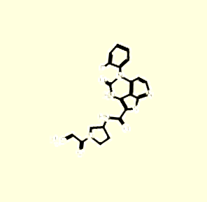 C=CC(=O)N1CCC(NC(=O)c2sc3nccc4c3c2NC(=O)N4c2ccccc2F)C1